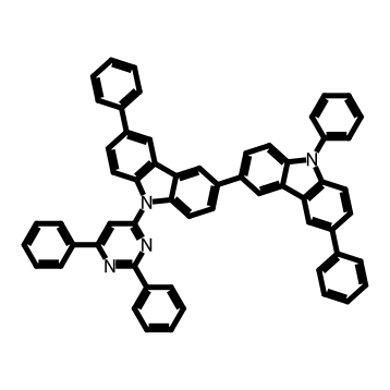 c1ccc(-c2ccc3c(c2)c2cc(-c4ccc5c(c4)c4cc(-c6ccccc6)ccc4n5-c4cc(-c5ccccc5)nc(-c5ccccc5)n4)ccc2n3-c2ccccc2)cc1